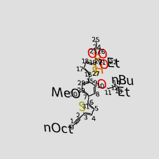 CCCCCCCCC#Cc1ccc(-c2cc(OCC(CC)CCCC)c(-c3ccc([PH]4(OCC)OC(C)O4)s3)cc2OC)s1